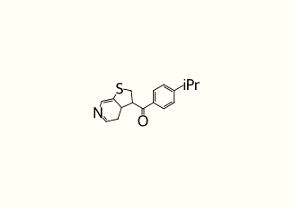 CC(C)c1ccc(C(=O)C2CSC3=CN=CCC32)cc1